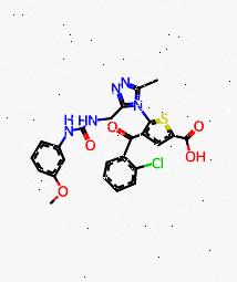 COc1cccc(NC(=O)NCc2nnc(C)n2-c2sc(C(=O)O)cc2C(=O)c2ccccc2Cl)c1